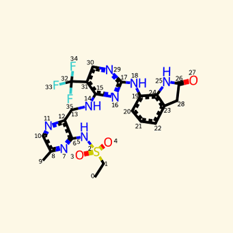 CCS(=O)(=O)Nc1nc(C)cnc1CNc1nc(Nc2cccc3c2NC(=O)C3)ncc1C(F)(F)F